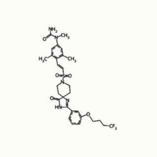 Cc1cc(N(C)C(N)=O)cc(C)c1C=CS(=O)(=O)N1CCC2(CC1)N=C(c1cccc(OCCCC(F)(F)F)c1)NC2=O